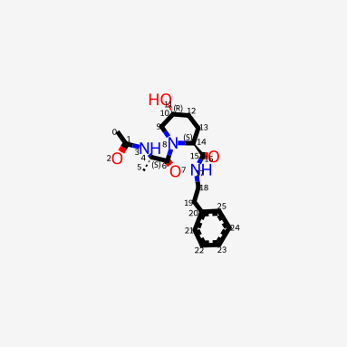 CC(=O)N[C@@H](C)C(=O)N1C[C@H](O)CC[C@H]1C(=O)NCCc1ccccc1